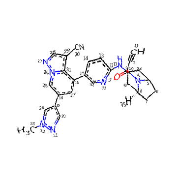 C#CC(=O)N1C2CC[C@H]1CC(Nc1ccc(-c3cc(-c4cnn(C)c4)cn4ncc(C#N)c34)cn1)C2